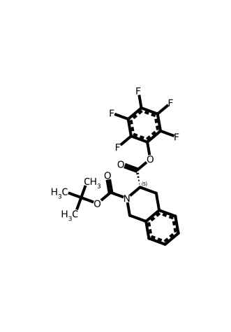 CC(C)(C)OC(=O)N1Cc2ccccc2C[C@H]1C(=O)Oc1c(F)c(F)c(F)c(F)c1F